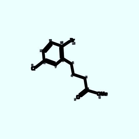 COC(=O)CCCc1cc(Cl)ccc1Br